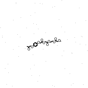 COCC(=O)OCCOC(=O)COC(=O)COc1ccc(OCC(C)=O)cc1